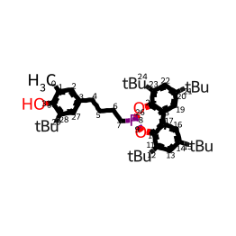 Cc1cc(CCCCp2oc3c(C(C)(C)C)cc(C(C)(C)C)cc3c3cc(C(C)(C)C)cc(C(C)(C)C)c3o2)cc(C(C)(C)C)c1O